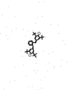 CC(C)(C)C1=CC(=Cc2ccccc2C=C2C=C(C(C)(C)C)C(=O)C(C(C)(C)C)=C2)C=C(C(C)(C)C)C1=O